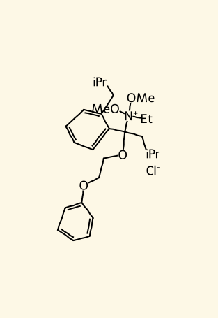 CC[N+](OC)(OC)C(CC(C)C)(OCCOc1ccccc1)c1ccccc1CC(C)C.[Cl-]